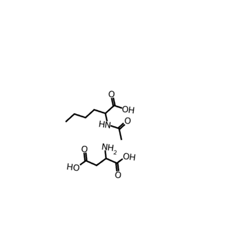 CCCCC(NC(C)=O)C(=O)O.NC(CC(=O)O)C(=O)O